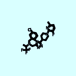 Cc1ccc(F)c(N2CCC(c3nnc4n3-c3ccc(Cl)cc3CN(C(C)C(F)(F)F)C4)CC2)n1